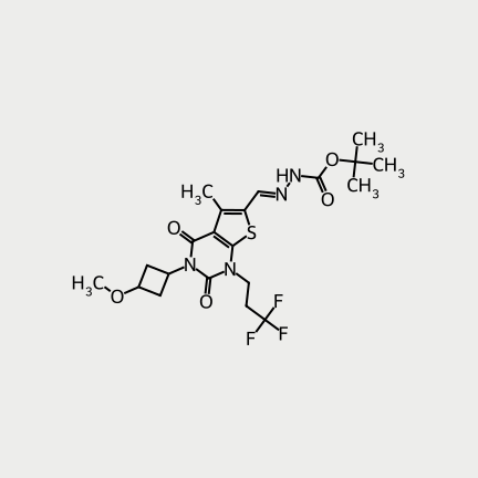 COC1CC(n2c(=O)c3c(C)c(/C=N/NC(=O)OC(C)(C)C)sc3n(CCC(F)(F)F)c2=O)C1